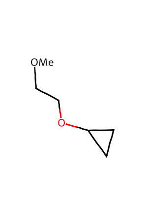 COCCOC1CC1